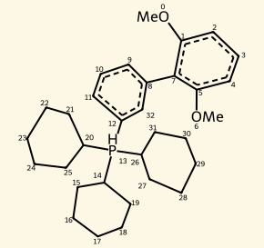 COc1cccc(OC)c1-c1cccc([PH](C2CCCCC2)(C2CCCCC2)C2CCCCC2)c1